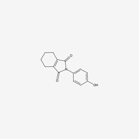 O=C1C2=C(CCCC2)C(=O)N1c1ccc(O)cc1